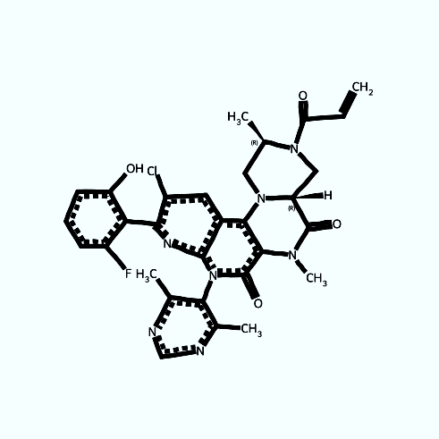 C=CC(=O)N1C[C@@H]2C(=O)N(C)c3c(c4cc(Cl)c(-c5c(O)cccc5F)nc4n(-c4c(C)ncnc4C)c3=O)N2C[C@H]1C